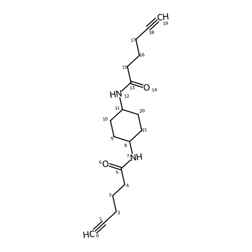 C#CCCCC(=O)NC1CCC(NC(=O)CCCC#C)CC1